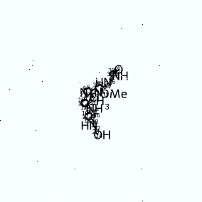 COc1nc(-c2ccnc(-c3cccc(Nc4cccc(CNCCO)c4F)c3C)c2Cl)ccc1CNCC1CCC(=O)N1